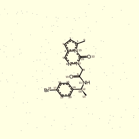 Cc1ccc2cnn(CC(=O)N[C@@H](C)c3ccc(Br)cc3)c(=O)n12